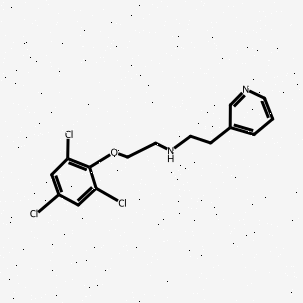 Clc1cc(Cl)c(OCCNCCc2cccnc2)c(Cl)c1